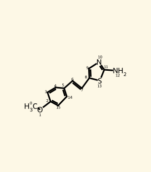 COc1ccc(C=Cc2cnc(N)s2)cc1